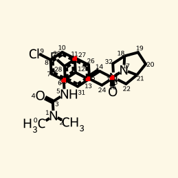 CN(C)C(=O)Nc1cc(Cl)ccc1C=CC(=O)N1C2CCC1CN(Cc1ccc(F)cc1)C2